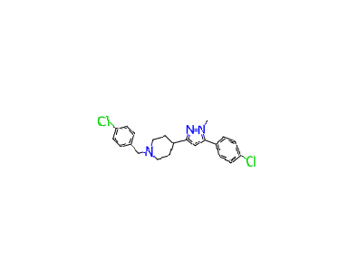 Cn1nc(C2CCN(Cc3ccc(Cl)cc3)CC2)cc1-c1ccc(Cl)cc1